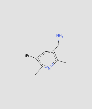 Cc1nc(C)c(C(C)C)cc1CN